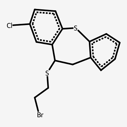 Clc1ccc2c(c1)C(SCCBr)Cc1ccccc1S2